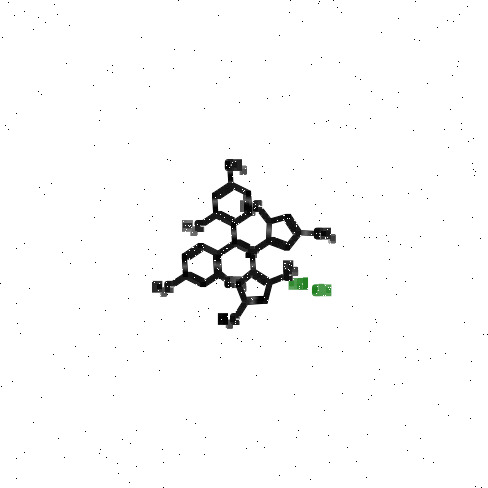 CC1=CC(C)[C]([Zr]([C]2=C(C)C=C(C)C2)=[C](c2ccc(C)cc2C)c2ccc(C)cc2C)=C1.Cl.Cl